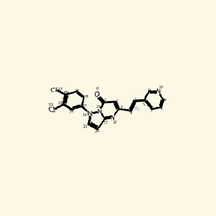 O=c1cc(/C=C/c2cccnc2)nc2ccn(-c3ccc(Cl)c(Cl)c3)n12